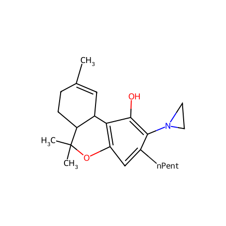 CCCCCc1cc2c(c(O)c1N1CC1)C1C=C(C)CCC1C(C)(C)O2